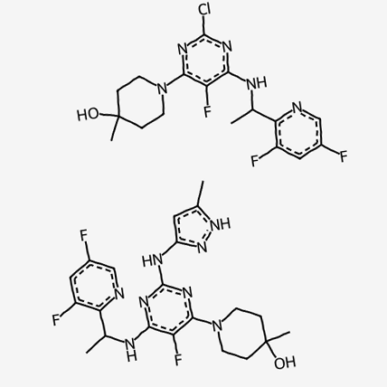 CC(Nc1nc(Cl)nc(N2CCC(C)(O)CC2)c1F)c1ncc(F)cc1F.Cc1cc(Nc2nc(NC(C)c3ncc(F)cc3F)c(F)c(N3CCC(C)(O)CC3)n2)n[nH]1